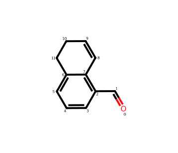 O=Cc1cccc2c1C=CCC2